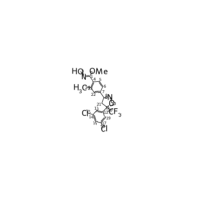 COC(=NO)c1ccc(C2=NOC(c3cc(Cl)cc(Cl)c3)(C(F)(F)F)C2)cc1C